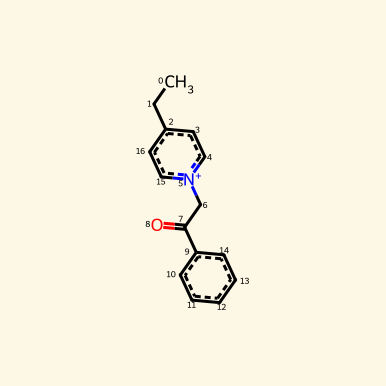 CCc1cc[n+](CC(=O)c2ccccc2)cc1